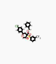 O=S(=O)(c1cccc(C(F)(F)F)c1)C1(COCc2ccccc2)CCOC(c2ccc(Cl)cc2)C1